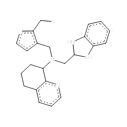 NCc1sccc1CN(CC1Nc2ccccc2N1)C1CCCc2cccnc21